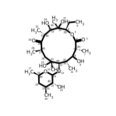 CC[C@H]1OC(=O)[C@H](C)C(O)[C@H](C)[C@@H](OC2O[C@H](C)C[C@H](C)[C@H]2O)[C@](C)(O)C[C@@H](C)C(=O)[C@H](C)[C@@H](O)[C@]1(C)O